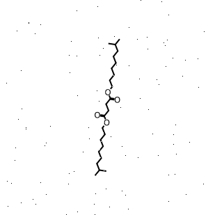 CC(C)CCCCCCCOC(=O)CCC(=O)OCCCCCCCC(C)C